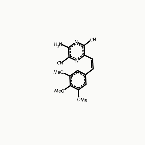 [C-]#[N+]c1nc(/C=C\c2cc(OC)c(OC)c(OC)c2)c(C#N)nc1N